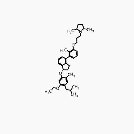 CCOc1cc(O[C@H]2CCc3c(-c4cccc(OCCCN5C(C)CC[C@H]5C)c4C)cccc32)c(C)cc1CC(C)C